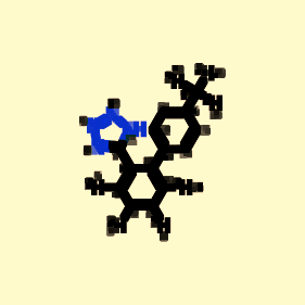 [2H]c1c([2H])c([2H])c(-c2nnn[nH]2)c(-c2ccc(C([2H])([2H])[2H])cc2)c1[2H]